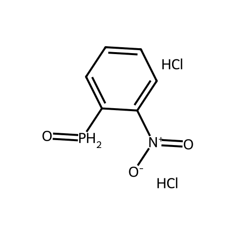 Cl.Cl.O=[PH2]c1ccccc1[N+](=O)[O-]